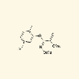 CON=C(Oc1cc(C(C)=O)ccc1C)C(=O)OC